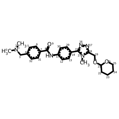 CN(C)Cc1ccc(C(=O)Nc2ccc(-c3nnc(COC4CCCCO4)n3C)cc2)cc1